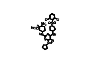 Cl.Cl.NC1CCC(Nc2nc(NC3CCN(S(=O)(=O)c4c(Cl)cccc4Cl)CC3)c3ncn(C4CCCC4)c3n2)CC1